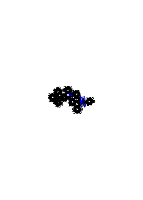 c1ccc(-c2nc(-c3ccccc3)c(-c3cccc(-c4nc5ccccc5c5c6c(ccc45)C(c4ccccc4)(c4ccccc4)c4ccccc4-6)c3)c(-c3ccccc3)n2)cc1